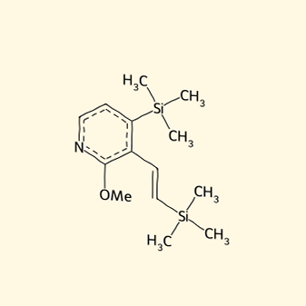 COc1nccc([Si](C)(C)C)c1C=C[Si](C)(C)C